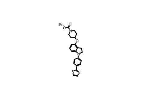 CC(C)OC(=O)N1CCC(Oc2cccc3c2CCN3c2ccc(-c3nccs3)cc2)CC1